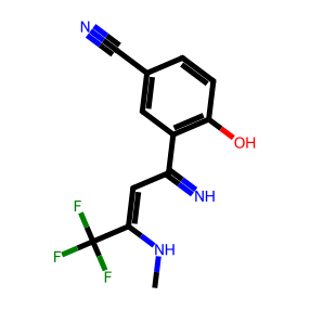 CN/C(=C\C(=N)c1cc(C#N)ccc1O)C(F)(F)F